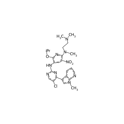 CC(C)Oc1nc(N(C)CCN(C)C)c([N+](=O)[O-])cc1Nc1ncc(Cl)c(-c2cn(C)c3ncccc23)n1